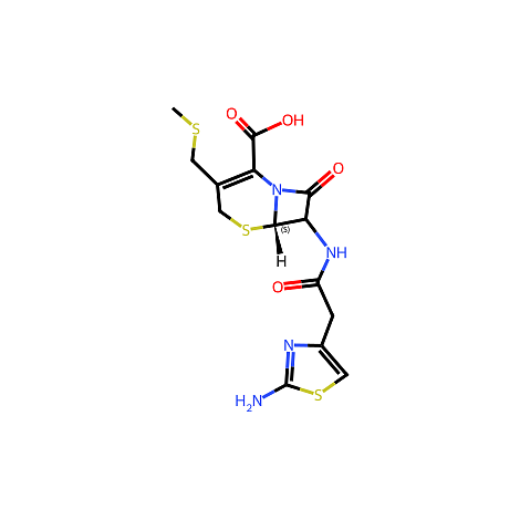 CSCC1=C(C(=O)O)N2C(=O)C(NC(=O)Cc3csc(N)n3)[C@@H]2SC1